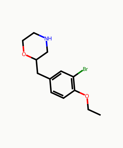 CCOc1ccc(CC2CNCCO2)cc1Br